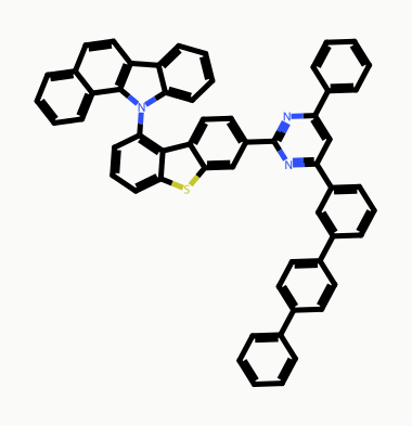 c1ccc(-c2ccc(-c3cccc(-c4cc(-c5ccccc5)nc(-c5ccc6c(c5)sc5cccc(-n7c8ccccc8c8ccc9ccccc9c87)c56)n4)c3)cc2)cc1